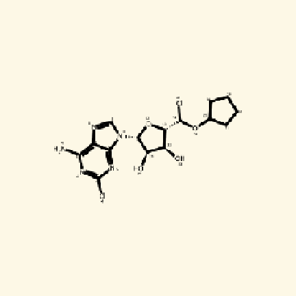 Nc1nc(Cl)nc2c1ncn2[C@@H]1O[C@H](C(Cl)OC2CCCC2)[C@@H](O)[C@H]1O